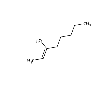 CCCCC/C(O)=C/P